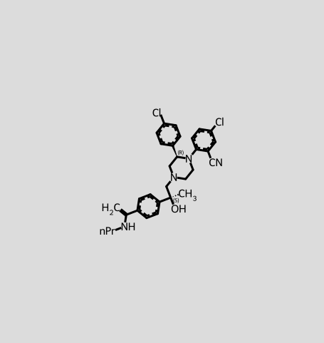 C=C(NCCC)c1ccc([C@](C)(O)CN2CCN(c3ccc(Cl)cc3C#N)[C@H](c3ccc(Cl)cc3)C2)cc1